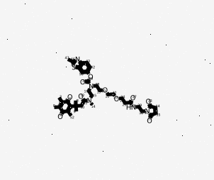 CC1=C(C)C(=O)C(C(C)(C)CC(=O)N(C)CCN(CCOCCOCCC(=O)NCCN2C(=O)C=CC2=O)C(=O)Oc2ccc3nc(C)sc3c2)=C(C)C1=O